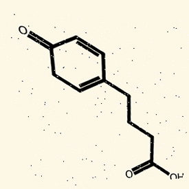 O=C(O)CCCC1=CCC(=O)C=C1